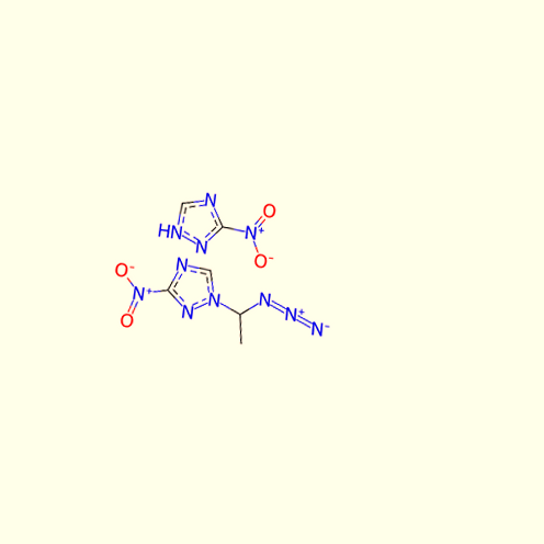 CC(N=[N+]=[N-])n1cnc([N+](=O)[O-])n1.O=[N+]([O-])c1nc[nH]n1